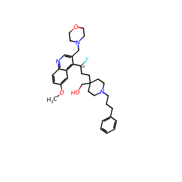 COc1ccc2ncc(CN3CCOCC3)c([C@@H](F)CCC3(CO)CCN(CCCc4ccccc4)CC3)c2c1